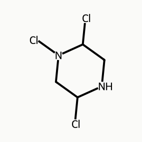 ClC1CN(Cl)C(Cl)CN1